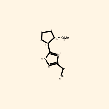 CO[C@H]1CCCN1c1nc(CO)cs1